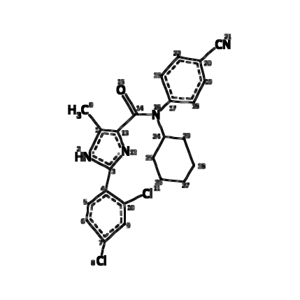 Cc1[nH]c(-c2ccc(Cl)cc2Cl)nc1C(=O)N(c1ccc(C#N)cc1)C1CCCCC1